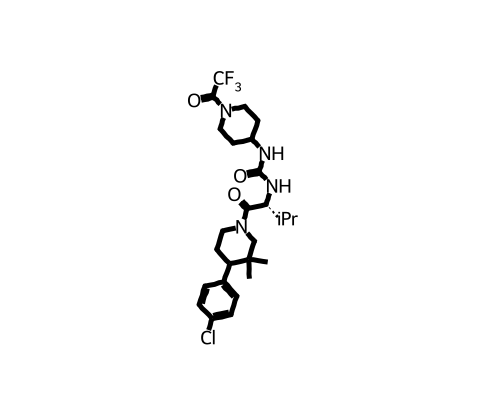 CC(C)[C@@H](NC(=O)NC1CCN(C(=O)C(F)(F)F)CC1)C(=O)N1CCC(c2ccc(Cl)cc2)C(C)(C)C1